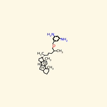 CC(CCCC(C)[C@H]1CC[C@H]2[C@@H]3CCC4CCCC[C@]4(C)[C@H]3CC[C@]12C)COCc1cc(N)cc(N)c1